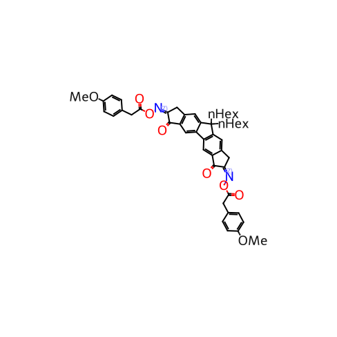 CCCCCCC1(CCCCCC)c2cc3c(cc2-c2cc4c(cc21)C/C(=N/OC(=O)Cc1ccc(OC)cc1)C4=O)C(=O)/C(=N\OC(=O)Cc1ccc(OC)cc1)C3